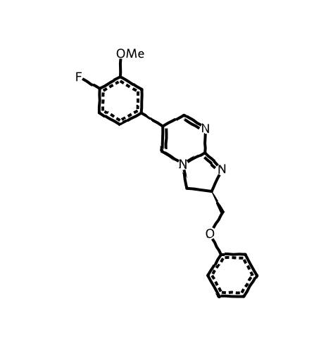 COc1cc(C2=CN3C[C@H](COc4ccccc4)N=C3N=C2)ccc1F